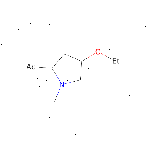 CCOC1CC(C(C)=O)N(C)C1